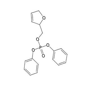 O=P(OCC1C=CCO1)(Oc1ccccc1)Oc1ccccc1